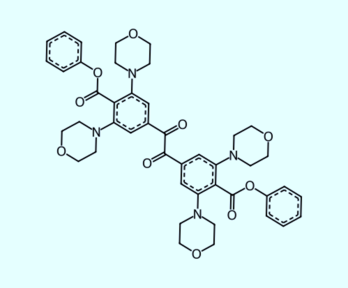 O=C(C(=O)c1cc(N2CCOCC2)c(C(=O)Oc2ccccc2)c(N2CCOCC2)c1)c1cc(N2CCOCC2)c(C(=O)Oc2ccccc2)c(N2CCOCC2)c1